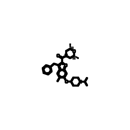 Cc1cc2c(Cc3ccccc3)c(C(=O)N3C[C@@H](C)O[C@@H](C)C3)oc2cc1OC1CCN(C(C)C)CC1